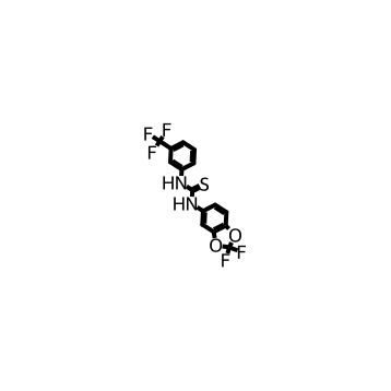 FC1(F)Oc2ccc(NC(=S)Nc3cccc(C(F)(F)F)c3)cc2O1